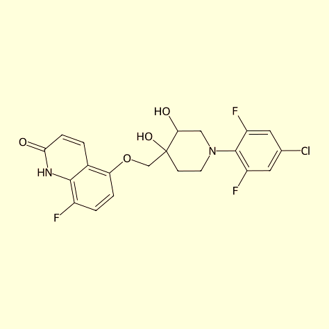 O=c1ccc2c(OCC3(O)CCN(c4c(F)cc(Cl)cc4F)CC3O)ccc(F)c2[nH]1